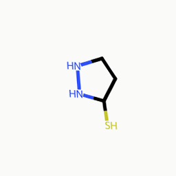 SC1CCNN1